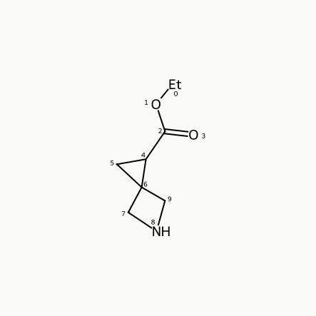 CCOC(=O)C1CC12CNC2